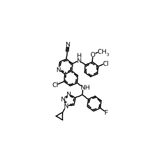 COc1c(Cl)cccc1Nc1c(C#N)cnc2c(Cl)cc(NC(c3ccc(F)cc3)c3cn(C4CC4)nn3)cc12